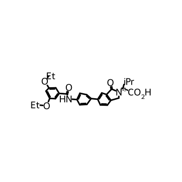 CCOc1cc(OCC)cc(C(=O)Nc2ccc(-c3ccc4c(c3)C(=O)N([C@H](C(=O)O)C(C)C)C4)cc2)c1